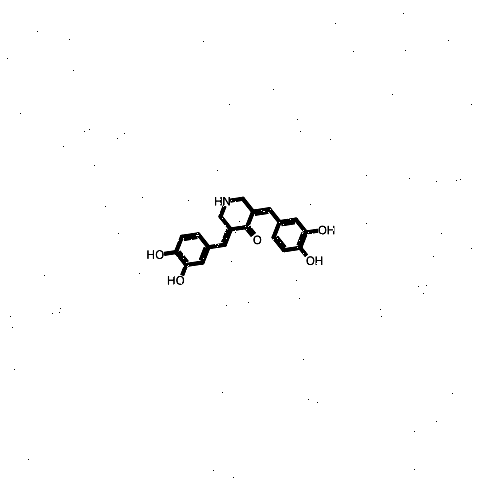 O=C1C(=Cc2ccc(O)c(O)c2)CNCC1=Cc1ccc(O)c(O)c1